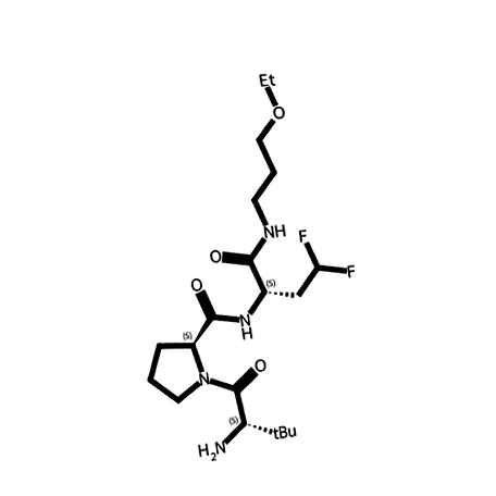 CCOCCCNC(=O)[C@H](CC(F)F)NC(=O)[C@@H]1CCCN1C(=O)[C@@H](N)C(C)(C)C